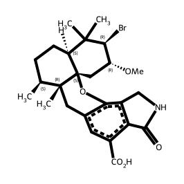 CO[C@@H]1C[C@@]23Oc4c(cc(C(=O)O)c5c4CNC5=O)C[C@]2(C)[C@@H](C)CC[C@H]3C(C)(C)[C@H]1Br